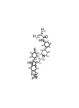 CC(C)C(=O)Nc1cccc(C2CCN(CCCc3c(-c4ccc(F)cc4)[nH]c4ccc(OC(F)(F)F)cc34)CC2)c1